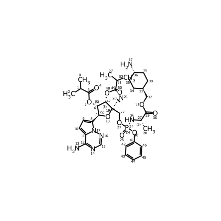 CC(C)C(=O)O[C@H]1[C@H](c2ccc3c(N)ncnn23)O[C@](C#N)(CO[P@@](=O)(N[C@@H](C)C(=O)OC[C@H]2CC[C@H](N)CC2)Oc2ccccc2)[C@H]1OC(=O)C(C)C